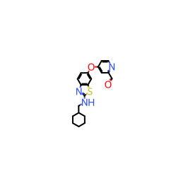 O=Cc1cc(Oc2ccc3nc(NCC4CCCCC4)sc3c2)ccn1